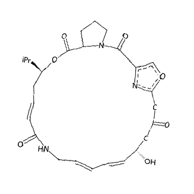 CC(C)[C@@H]1C/C=C/C(=O)NC/C=C/C=C/[C@@H](O)CC(=O)Cc2nc(co2)C(=O)N2CCCC2C(=O)O1